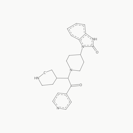 O=C(c1ccncc1)C(C1CCNCC1)N1CCC(n2c(=O)[nH]c3ccccc32)CC1